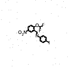 O=[N+]([O-])c1ccc(OC(F)F)c(C=Nc2ccc(I)cc2)c1